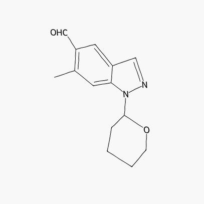 Cc1cc2c(cnn2C2CCCCO2)cc1C=O